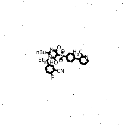 CCCCc1nc(=O)c(S(=O)(=O)c2ccc(-c3cccnc3C)cc2)c(O)n1[C@@H](CC)c1ccc(F)c(C#N)c1